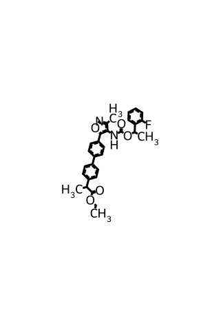 CCOC(=O)C(C)c1ccc(-c2ccc(-c3onc(C)c3NC(=O)OC(C)c3ccccc3F)cc2)cc1